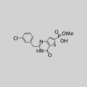 COP(=O)(O)c1cc2nc(Cc3cccc(Cl)c3)[nH]c(=O)c2s1